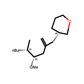 C=C([CH][C@@H]1CCCOC1)C[C@H](OC)[C@@H](C)CCCC